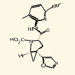 Cc1ccc(Br)nc1NC(=O)[C@@H]1C[C@@]2(c3cnco3)C[C@H]2N1C(=O)O